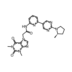 C[C@@H]1CCCN1c1ncc(-c2cccc(NC(=O)Cn3cnc4c3c(=O)n(C)c(=O)n4C)n2)cn1